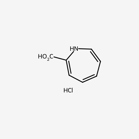 Cl.O=C(O)C1=CC=CC=CN1